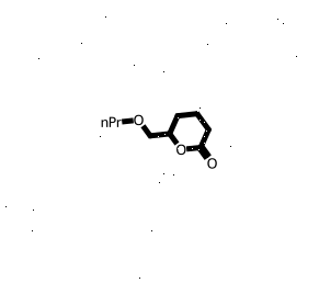 CCCOCC1CCCC(=O)O1